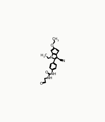 CCOc1ccc2c(C#N)c(-c3ccc(NC(=O)NCC=O)cc3)n(CC)c2c1